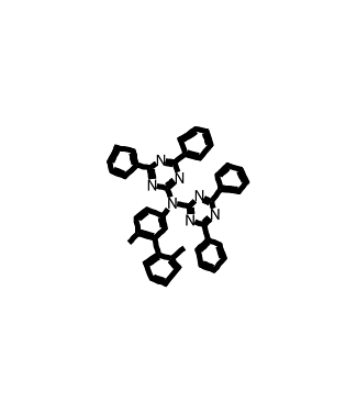 Cc1ccccc1-c1cc(N(c2nc(-c3ccccc3)nc(-c3ccccc3)n2)c2nc(-c3ccccc3)nc(-c3ccccc3)n2)ccc1C